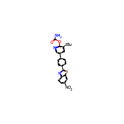 CC(C)(C)c1cc(-c2ccc(-c3nc4ccc([N+](=O)[O-])cc4s3)cc2)cnc1OC(N)=O